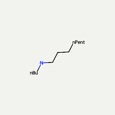 CCCCCCCC[N]CCCC